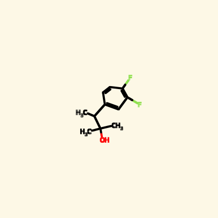 CC(c1ccc(F)c(F)c1)C(C)(C)O